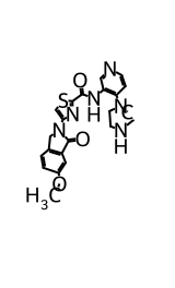 COc1ccc2c(c1)C(=O)N(c1csc(C(=O)Nc3cnccc3N3CCNCC3)n1)C2